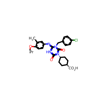 Cc1cc(/N=c2\[nH]c(=O)n([C@H]3CC[C@H](C(=O)O)CC3)c(=O)n2Cc2ccc(Cl)cc2)ccc1OC(C)C